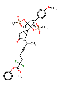 COc1ccc(CCC(C)(OS(C)(=O)=O)C(C)(OS(C)(=O)=O)C2C3CC(=O)[C@@H](C(C)C#CCCC(F)(F)C(=O)Oc4ccccc4C)C32)cc1